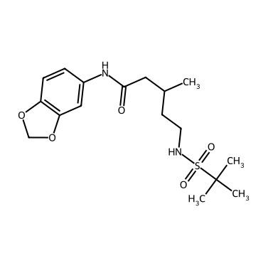 CC(CCNS(=O)(=O)C(C)(C)C)CC(=O)Nc1ccc2c(c1)OCO2